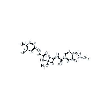 CC1Nc2ccc(C(=O)NC3CC(C)(NC(=O)COc4ccc(Cl)c(F)c4)C3)cc2S1